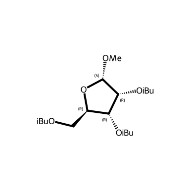 CO[C@H]1O[C@H](COCC(C)C)[C@@H](OCC(C)C)[C@H]1OCC(C)C